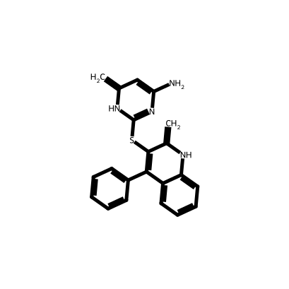 C=C1C=C(N)N=C(SC2=C(c3ccccc3)c3ccccc3NC2=C)N1